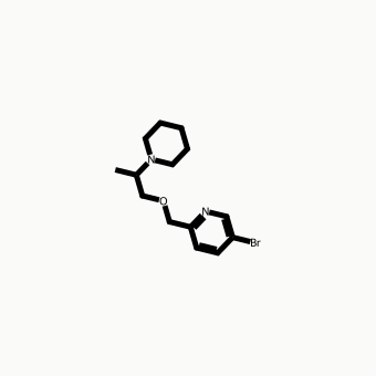 CC(COCc1ccc(Br)cn1)N1CCCCC1